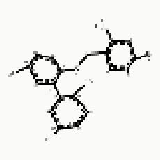 Cc1cc(Br)ncc1CSc1ccc(F)cc1-c1cc(F)ccc1F